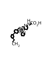 C=CCc1cccc(-c2ccc(CN(Cc3cccc(NCC(=O)O)n3)S(=O)(=O)c3ccccn3)cc2)c1